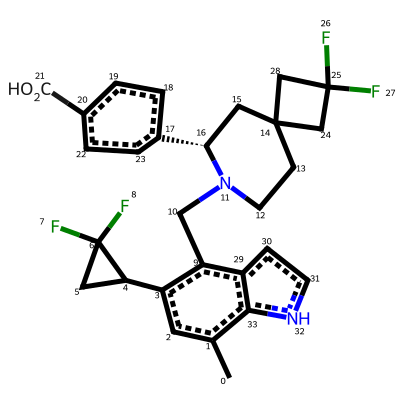 Cc1cc(C2CC2(F)F)c(CN2CCC3(C[C@H]2c2ccc(C(=O)O)cc2)CC(F)(F)C3)c2cc[nH]c12